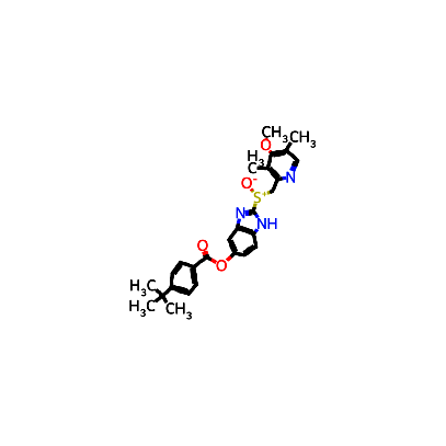 COc1c(C)cnc(C[S+]([O-])c2nc3cc(OC(=O)c4ccc(C(C)(C)C)cc4)ccc3[nH]2)c1C